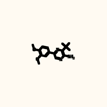 COc1ccc(-c2cnc(N)c(C(C)(C)C)n2)cc1OC